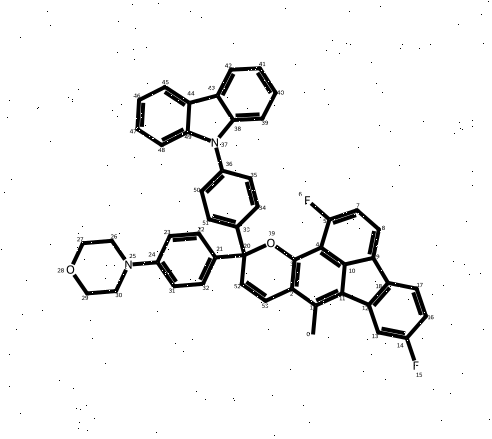 Cc1c2c(c3c(F)ccc4c3c1-c1cc(F)ccc1-4)OC(c1ccc(N3CCOCC3)cc1)(c1ccc(-n3c4ccccc4c4ccccc43)cc1)C=C2